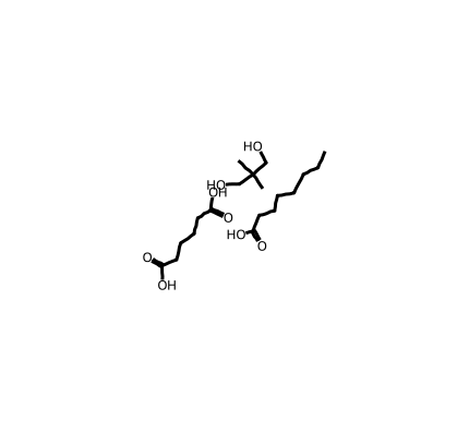 CC(C)(CO)CO.CCCCCCCC(=O)O.O=C(O)CCCCC(=O)O